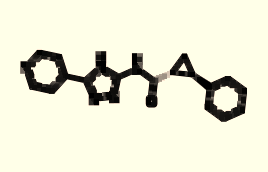 O=C(Nc1nnc(-c2ccncc2)[nH]1)[C@@H]1C[C@H]1c1ccccc1